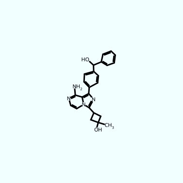 CC1(O)CC(c2nc(-c3ccc(C(O)c4ccccc4)cc3)c3c(N)nccn23)C1